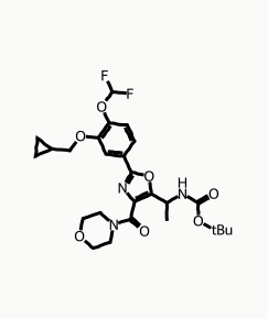 CC(NC(=O)OC(C)(C)C)c1oc(-c2ccc(OC(F)F)c(OCC3CC3)c2)nc1C(=O)N1CCOCC1